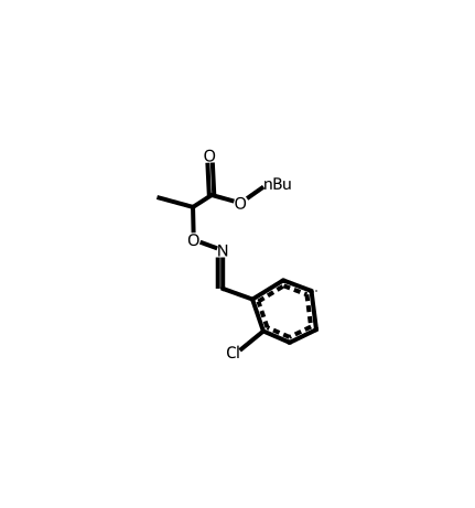 CCCCOC(=O)C(C)ON=Cc1c[c]ccc1Cl